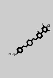 CCCCCCCc1ccc(CCC2CCC(CCc3ccc(-c4cc(F)c(Cl)c(F)c4)c(F)c3)CC2)cc1